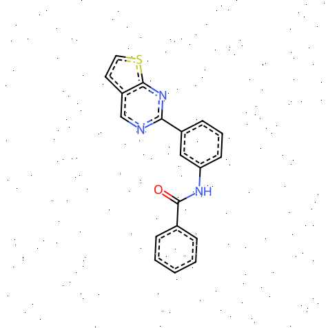 O=C(Nc1cccc(-c2ncc3ccsc3n2)c1)c1ccccc1